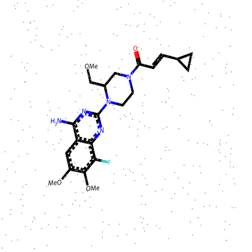 COCC1CN(C(=O)C=CC2CC2)CCN1c1nc(N)c2cc(OC)c(OC)c(F)c2n1